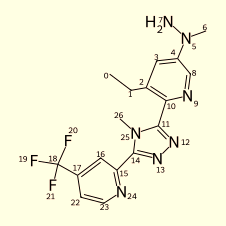 CCc1cc(N(C)N)cnc1-c1nnc(-c2cc(C(F)(F)F)ccn2)n1C